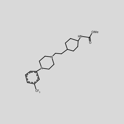 COC(=O)NC1CCC(CCN2CCN(c3cccc(C(F)(F)F)c3)CC2)CC1